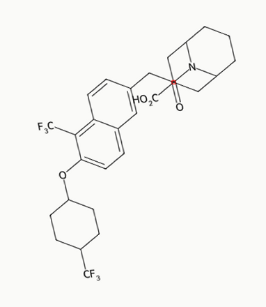 O=C(O)C1CC2CCCC(C1)N2C(=O)Cc1ccc2c(C(F)(F)F)c(OC3CCC(C(F)(F)F)CC3)ccc2c1